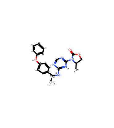 CC(C)C1COC(=O)N1c1ncnc(N[C@@H](C)c2ccc(Oc3ccccc3)cc2)n1